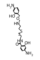 Nc1ccc(COCNCCSSCCNC(=O)c2ccc(N)cc2O)c(O)c1